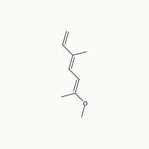 C=C/C(C)=C/C=C(\C)OC